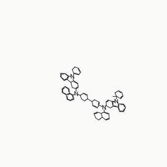 CC1(n2c3c(c4ccccc42)CC(N(C2=CCC(C4C=CC(N(C5=CC=C6C(C5)c5ccccc5N6C5=CC=CCC5)c5cccc6ccccc56)CC4)C=C2)C2=CC=CC4CCC=CC24)C=C3)C=CC=CC1